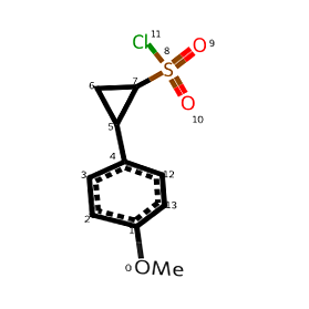 COc1ccc(C2CC2S(=O)(=O)Cl)cc1